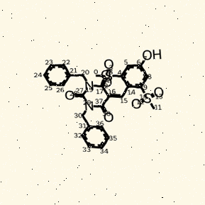 CS(=O)(=O)c1cc(O)cc(S(C)(=O)=O)c1C=C1C(=O)N(Cc2ccccc2)C(=O)N(Cc2ccccc2)C1=O